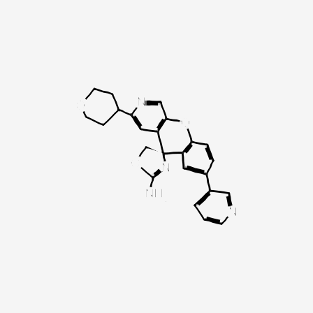 NC1=N[C@@]2(CO1)c1cc(-c3cccnc3)ccc1Oc1cnc(C3CCOCC3)cc12